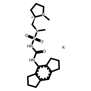 CN1CCC[C@@H]1CN(C)S(=O)(=O)NC(=O)Nc1c2c(cc3c1CCC3)CCC2.[K]